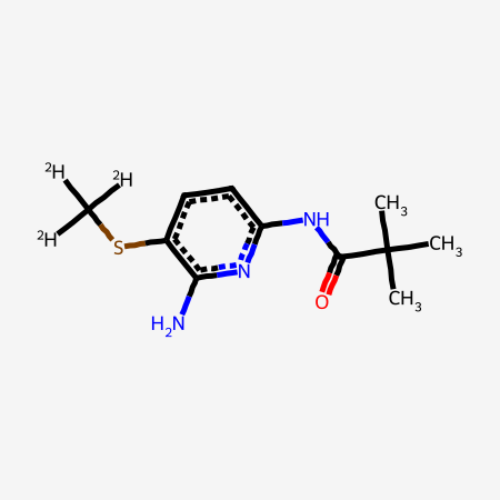 [2H]C([2H])([2H])Sc1ccc(NC(=O)C(C)(C)C)nc1N